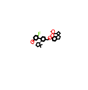 COC(=O)C1CCC12CCc1ccc(OCc3ccc(-c4cc(OC)ccc4F)c([C@@H]4CCCC4(C)C)c3)cc12